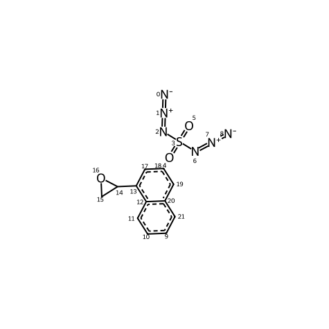 [N-]=[N+]=NS(=O)(=O)N=[N+]=[N-].c1ccc2c(C3CO3)cccc2c1